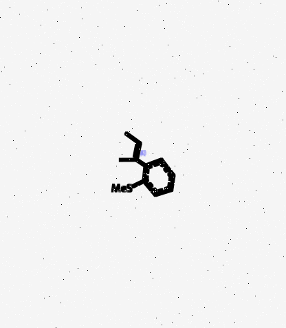 C/C=C(\C)c1ccccc1SC